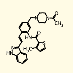 CC(=O)N1CCN(Cc2ccc(C=Cc3n[nH]c4ccccc34)c(NC(=O)c3sccc3C)c2)CC1